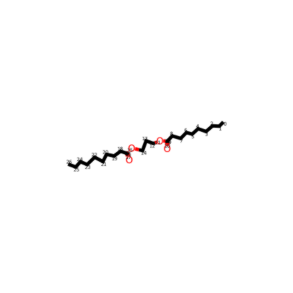 CCCCCCCCCC(=O)OCCCOC(=O)CCCCCCCCC